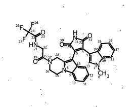 Cn1cc(C2=C(c3c4n(c5ccccc35)CCN(C(=O)CNC(=O)C(F)(F)F)C4)C(=O)NC2=O)c2ccccc21